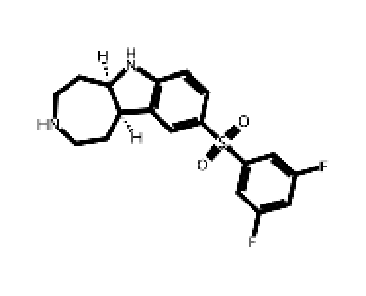 O=S(=O)(c1cc(F)cc(F)c1)c1ccc2c(c1)[C@H]1CCNCC[C@H]1N2